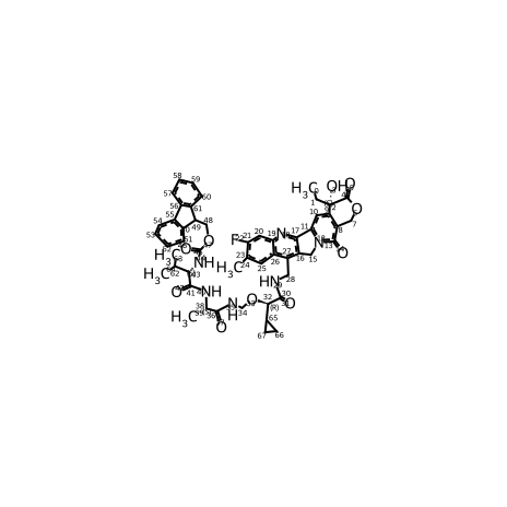 CC[C@@]1(O)C(=O)OCc2c1cc1n(c2=O)Cc2c-1nc1cc(F)c(C)cc1c2CNC(=O)[C@H](OCNC(=O)[C@H](C)NC(=O)[C@@H](NC(=O)OCC1c2ccccc2-c2ccccc21)C(C)C)C1CC1